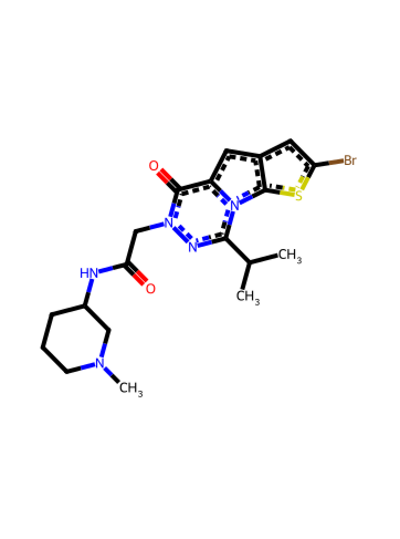 CC(C)c1nn(CC(=O)NC2CCCN(C)C2)c(=O)c2cc3cc(Br)sc3n12